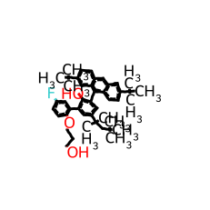 CC(C)(C)CC(C)(C)c1cc(-c2cc(F)ccc2OCCCO)c(O)c(-c2c3ccc(C(C)(C)C)cc3cc3ccc(C(C)(C)C)cc23)c1